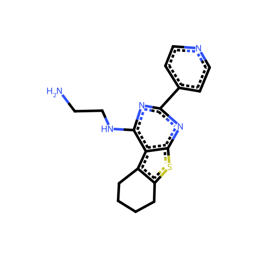 NCCNc1nc(-c2ccncc2)nc2sc3c(c12)CCCC3